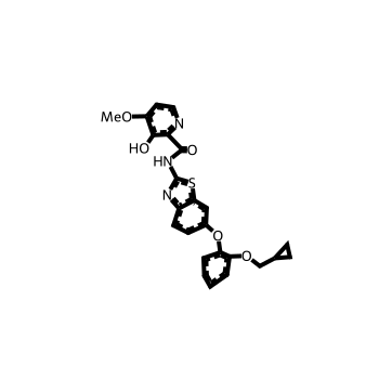 COc1ccnc(C(=O)Nc2nc3ccc(Oc4ccccc4OCC4CC4)cc3s2)c1O